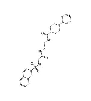 O=C(CNS(=O)(=O)c1ccc2ccccc2c1)NCCNC(=O)C1CCN(c2ccncn2)CC1